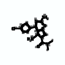 CN(C)C(=O)c1sc2nc(N)nc(-c3ccc(Cl)cc3)c2c1N